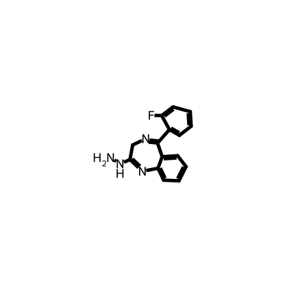 NNC1=Nc2ccccc2C(c2ccccc2F)=NC1